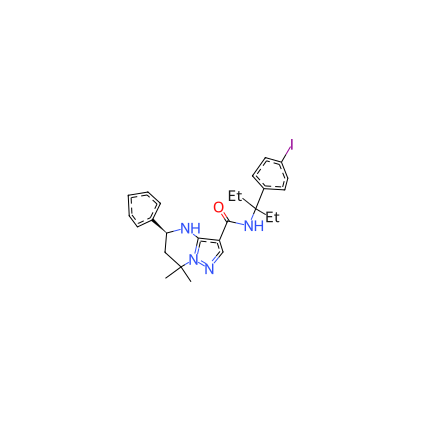 CCC(CC)(NC(=O)c1cnn2c1N[C@H](c1ccccc1)CC2(C)C)c1ccc(I)cc1